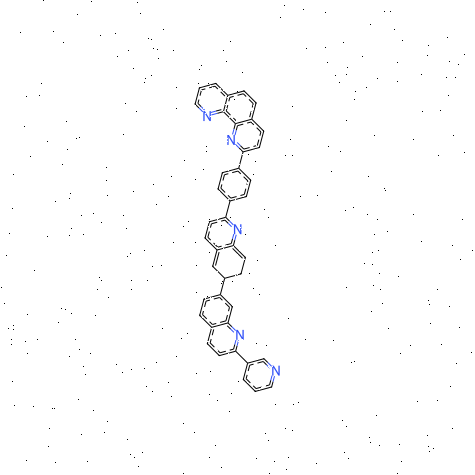 C1=c2ccc(-c3ccc(-c4ccc5ccc6cccnc6c5n4)cc3)nc2=CCC1c1ccc2ccc(-c3cccnc3)nc2c1